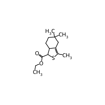 CCOC(=O)C1SC(C)=C2CC(C)(C)CCC21